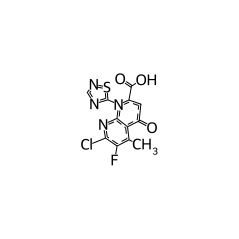 Cc1c(F)c(Cl)nc2c1c(=O)cc(C(=O)O)n2-c1ncns1